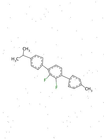 Cc1ccc(-c2ccc(-c3ccc(C(C)C)cc3)c(F)c2F)cc1